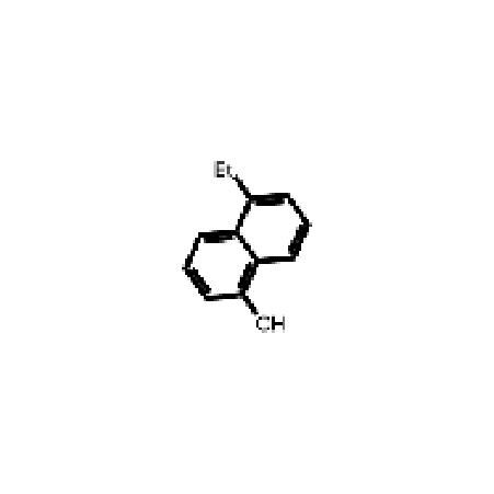 CCc1cccc2c(O)cccc12